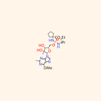 CCOC(=O)C1(NP(=O)(NC(C)C)OC[C@H]2O[C@@H](n3cnc4c(OC)nc(C)nc43)C(C)(O)[C@H]2O)CCCC1